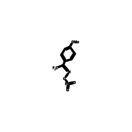 COc1ccc(/C(=N/O[SH](=O)=O)C(F)(F)F)cc1